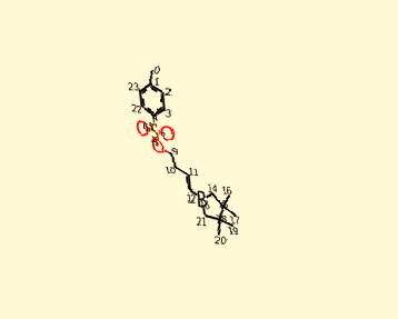 Cc1ccc(S(=O)(=O)OCC/C=C/B2CC(C)(C)C(C)(C)C2)cc1